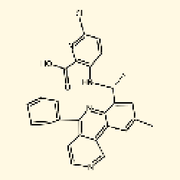 Cc1cc([C@@H](C)Nc2ccc(Cl)nc2C(=O)O)c2nc(-c3ccccc3)c3ccncc3c2c1